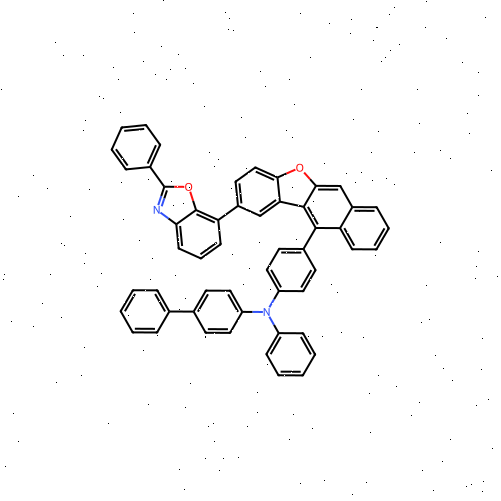 c1ccc(-c2ccc(N(c3ccccc3)c3ccc(-c4c5ccccc5cc5oc6ccc(-c7cccc8nc(-c9ccccc9)oc78)cc6c45)cc3)cc2)cc1